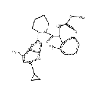 Bc1ccccc1C(NC(=O)OC(C)(C)C)C(=O)N1CCCC[C@H]1c1cc2nc(C3CC3)cc(C)n2n1